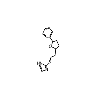 c1ccc(C2CCC(CCSc3ncc[nH]3)O2)cc1